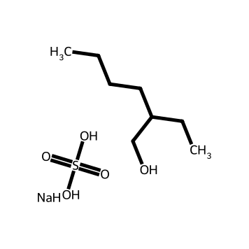 CCCCC(CC)CO.O=S(=O)(O)O.[NaH]